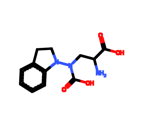 NC(CN(C(=O)O)N1CCc2ccccc21)C(=O)O